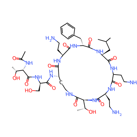 CC(=O)N[C@H](C(=O)N[C@H](CO)C(=O)N[C@H]1CCNC(=O)[C@H]([C@@H](C)O)NC(=O)[C@H](CCN)NC(=O)C(CCN)NC(=O)[C@H](CC(C)C)NC(=O)[C@@H](Cc2ccccc2)NC(=O)[C@H](CCN)NC1=O)[C@@H](C)O